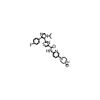 CC(C)n1cnc(-c2ccc(F)cc2)c1-c1nc(C(=O)Nc2ccc(N3CCP(C)(=O)CC3)cn2)cs1